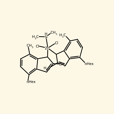 CCCCCCc1ccc(C)c2c1C=C(C)[CH]2[Zr]([Cl])([Cl])([CH]1C(C)=Cc2c(CCCCCC)ccc(C)c21)[SiH](C)C